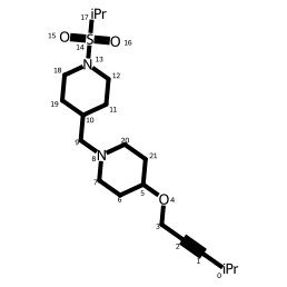 CC(C)C#CCOC1CCN(CC2CCN(S(=O)(=O)C(C)C)CC2)CC1